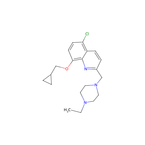 CCN1CCN(Cc2ccc3c(Cl)ccc(OCC4CC4)c3n2)CC1